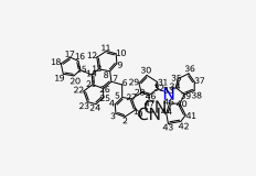 N#Cc1cccc(Cc2c3ccccc3c(-c3ccccc3)c3ccccc23)c1-c1cccc(-n2c3ccccc3c3ccccc32)c1C#N